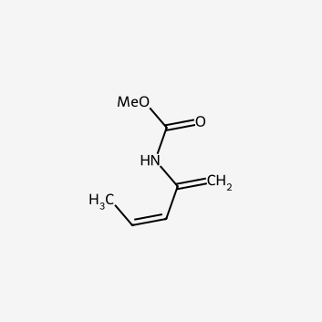 C=C(/C=C\C)NC(=O)OC